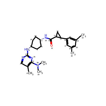 Cc1cnc(N[C@H]2CC[C@@H](NC(=O)C3CC3c3cc(C(F)(F)F)cc(C(F)(F)F)c3)CC2)nc1N(C)C